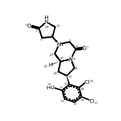 O=C1CC(N2CC(=O)N3C[C@@H](c4c(O)ccc(Cl)c4Cl)C[C@H]3C2)CN1